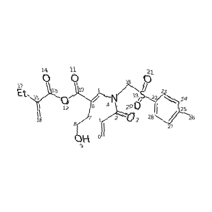 C=CC(=O)N(C=C(CCO)C(=O)OC(=O)C(=C)CC)CS(=O)(=O)c1ccc(C)cc1